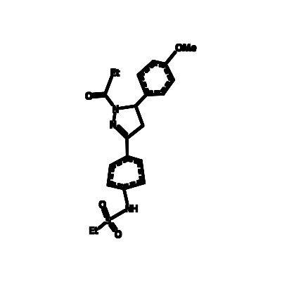 CCC(=O)N1N=C(c2ccc(NS(=O)(=O)CC)cc2)CC1c1ccc(OC)cc1